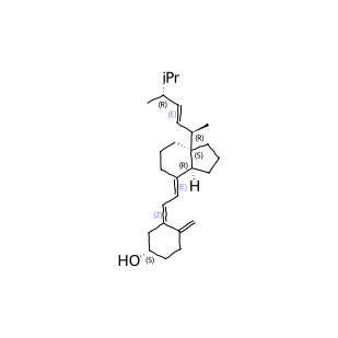 C=C1CC[C@H](O)C/C1=C/C=C1\CCC[C@]2([C@H](C)/C=C/[C@H](C)C(C)C)CCC[C@@H]12